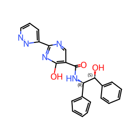 O=C(N[C@H](c1ccccc1)[C@@H](O)c1ccccc1)c1cnc(-c2cccnn2)nc1O